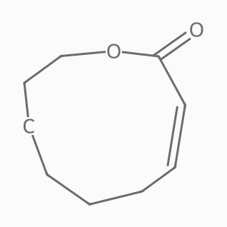 O=C1C=CCCCCCCO1